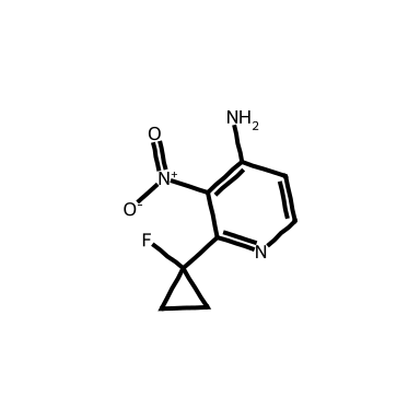 Nc1ccnc(C2(F)CC2)c1[N+](=O)[O-]